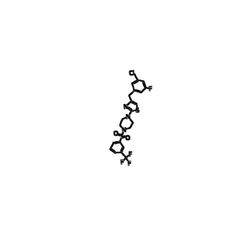 O=S(=O)(c1cccc(C(F)(F)F)c1)N1CCN(c2nc(Cc3cc(F)cc(Cl)c3)cs2)CC1